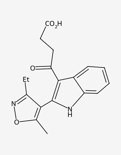 CCc1noc(C)c1-c1[nH]c2ccccc2c1C(=O)CCC(=O)O